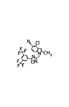 Cc1cc2c(Cl)c(C#N)ccc2n1Cc1noc(-c2cc(C(F)(F)F)cc(C(F)(F)F)c2)n1